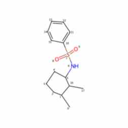 CC1CCCC(NS(=O)(=O)c2ccccc2)C1C